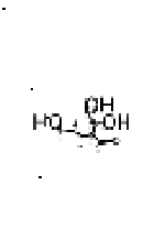 C=CC(CCCO)C(O)CO